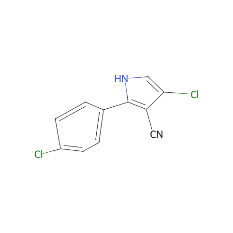 N#Cc1c(Cl)c[nH]c1-c1ccc(Cl)cc1